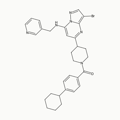 O=C(c1ccc(C2CCCCC2)cc1)N1CCC(c2cc(NCc3cccnc3)n3ncc(Br)c3n2)CC1